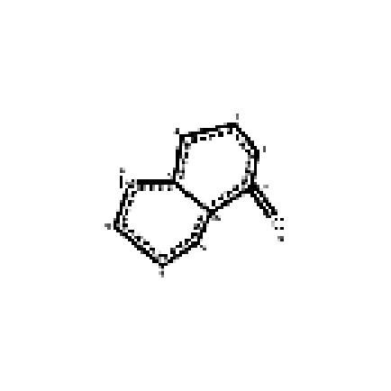 O=c1cccc2[te]cccc1-2